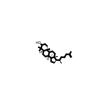 C=C(C)CCC[C@@H](C)[C@H]1CC[C@@]2(C)[C@@H]3CC[C@H]4C(C)(C)C(O)CC[C@@]45C[C@]35CC[C@]12C